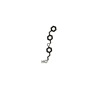 OCCCc1ccc(OCc2ccc(Cc3ccccc3)cc2)cc1